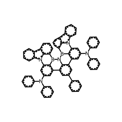 c1ccc(-c2cc3c4c(c2)-c2cc(N(c5ccccc5)c5ccccc5)cc5c2B(c2cccc6c7ccccc7n-5c26)N4B2c4c-3cc(N(c3ccccc3)c3ccccc3)cc4-n3c4ccccc4c4cccc2c43)cc1